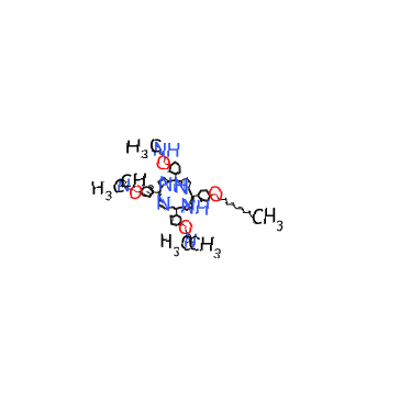 CCCCCCCCCCOc1ccc(-c2c3nc(c(-c4cccc(OCCNC)c4)c4ccc([nH]4)c(-c4ccc(OCCN(C)C)cc4)c4nc(c(-c5cccc(OCCN(C)C)c5)c5ccc2[nH]5)C=C4)C=C3)cc1